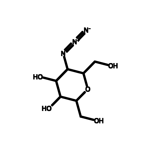 [N-]=[N+]=NC1C(CO)OC(CO)C(O)C1O